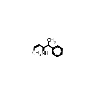 C/C=C\C(=N)C(C)c1ccccc1